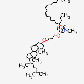 CCCCC/C=C\C/C=C\CCCCC(CCC)OCC(CN(C)C)OCCCCO[C@H]1CC[C@@]2(C)C(=CCC3C2CC[C@@]2(C)C3CC[C@@H]2[C@H](C)CCCC(C)C)C1